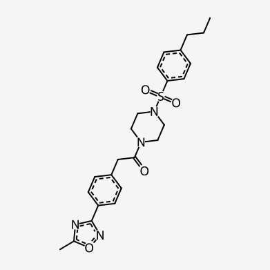 CCCc1ccc(S(=O)(=O)N2CCN(C(=O)Cc3ccc(-c4noc(C)n4)cc3)CC2)cc1